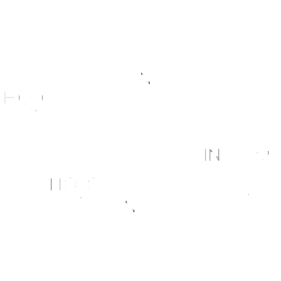 C=C(C)C(=O)NCCC[N+](C)(C)CCCC(=O)O.C[N+](C)(C)CC(=O)O